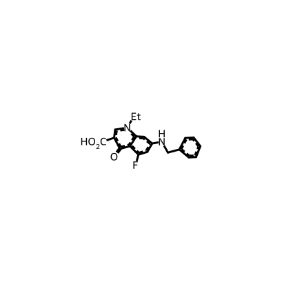 CCn1cc(C(=O)O)c(=O)c2c(F)cc(NCc3ccccc3)cc21